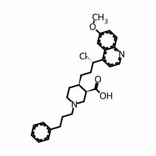 COc1ccc2nccc([C@@H](Cl)CC[C@@H]3CCN(CCCc4ccccc4)C[C@@H]3C(=O)O)c2c1